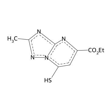 CCOC(=O)c1cc(S)n2nc(C)nc2n1